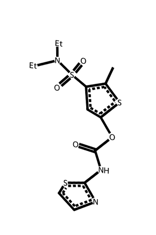 CCN(CC)S(=O)(=O)c1cc(OC(=O)Nc2nccs2)sc1C